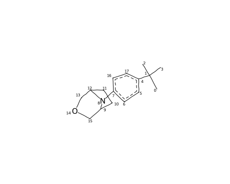 CC(C)(C)c1ccc(N2C3CCC2COC3)cc1